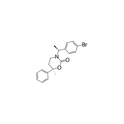 C[C@@H](c1ccc(Br)cc1)N1CC[C@](C)(c2ccccc2)OC1=O